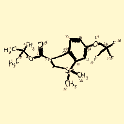 CC(C)(C)OC(=O)N1C[Si](C)(C)c2cc(OC(F)(F)F)ccc21